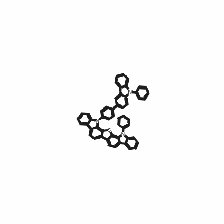 c1ccc(-n2c3ccccc3c3cc(-c4ccc(-n5c6ccccc6c6ccc7c8ccc9c%10ccccc%10n(-c%10ccccc%10)c9c8sc7c65)cc4)ccc32)cc1